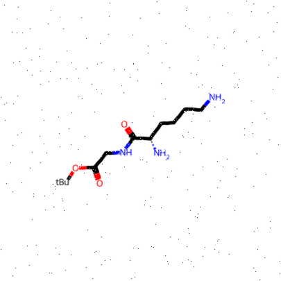 CC(C)(C)OC(=O)CNC(=O)[C@@H](N)CCCCN